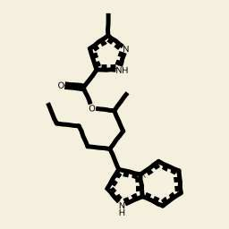 CCCCC(CC(C)OC(=O)c1cc(C)n[nH]1)c1c[nH]c2ccccc12